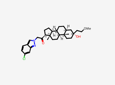 COCC[C@@]1(O)CC[C@@]2(C)[C@@H](CC[C@@H]3[C@@H]2CC[C@]2(C)[C@@H](C(=O)Cn4cc5ccc(Cl)cc5n4)CC[C@@H]32)C1